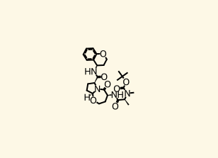 C[C@@H](C(=O)N[C@H]1CCO[C@H]2CC[C@@H](C(=O)N[C@@H]3CCOc4ccccc43)N2C1=O)N(C)C(=O)OC(C)(C)C